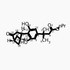 CCCOC(=O)CC(C)(C)c1cc(O)c([C@@H]2CC(=O)[C@H]3C[C@@H]2C3)c(O)c1